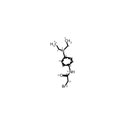 CCN(CC)c1ccc(NC(=O)CBr)cc1